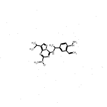 C=Cc1cc(C(C)Nc2nc([S+](C)[O-])nc3c(C(C)C)cnn23)ccc1NN